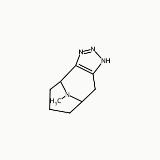 CN1C2CCCC1c1nn[nH]c1C2